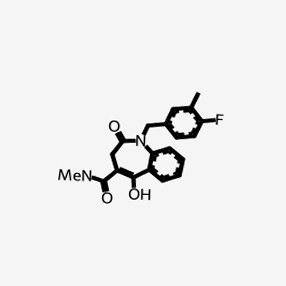 CNC(=O)C1=C(O)c2ccccc2N(Cc2ccc(F)c(C)c2)C(=O)C1